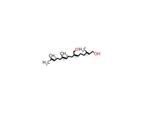 CC(C)=CCC/C(C)=C/CC/C(C=O)=C/CC/C(C)=C/CO